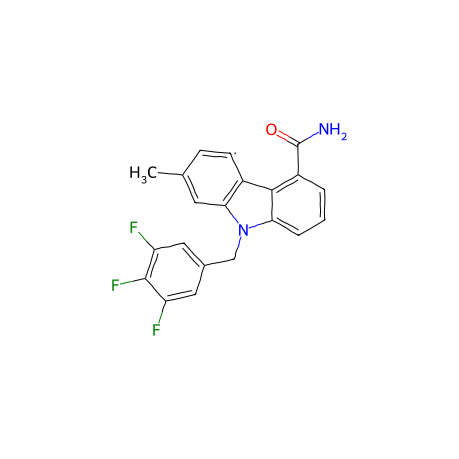 Cc1c[c]c2c3c(C(N)=O)cccc3n(Cc3cc(F)c(F)c(F)c3)c2c1